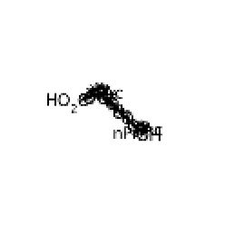 CCCc1c(OCCOCCOCCOCCOc2c(C(C)=O)ccc3ccc(OCC(=O)O)cc23)ccc(C(C)=O)c1O